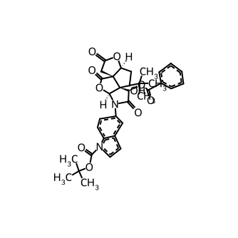 CC(C)(C)OC(=O)n1ccc2cc(N3C(=O)[C@H](OC(=O)c4ccccc4)[C@@]45[C@@H]3OC(=O)[C@@]43CC(=O)O[C@H]3C[C@@]5(O)C(C)(C)C)ccc21